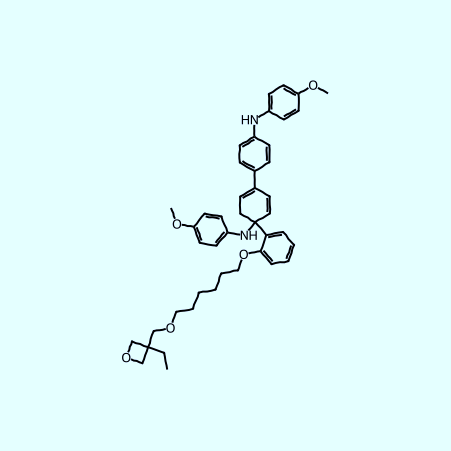 CCC1(COCCCCCCOc2ccccc2C2(Nc3ccc(OC)cc3)C=CC(c3ccc(Nc4ccc(OC)cc4)cc3)=CC2)COC1